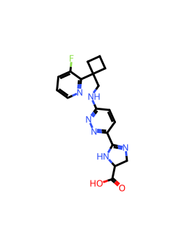 O=C(O)C1CN=C(c2ccc(NCC3(c4ncccc4F)CCC3)nn2)N1